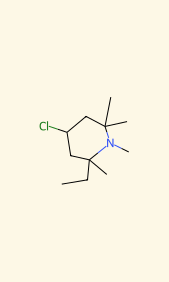 CCC1(C)CC(Cl)CC(C)(C)N1C